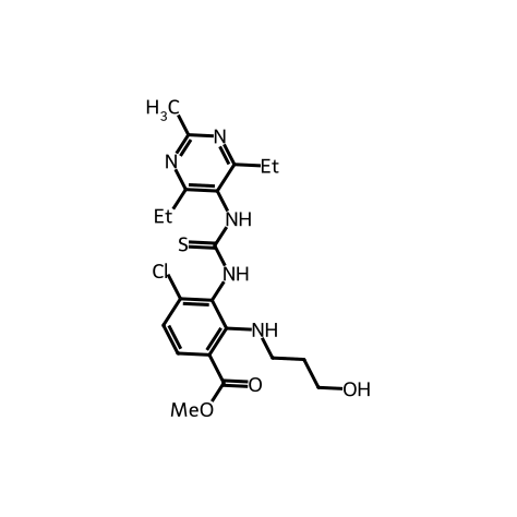 CCc1nc(C)nc(CC)c1NC(=S)Nc1c(Cl)ccc(C(=O)OC)c1NCCCO